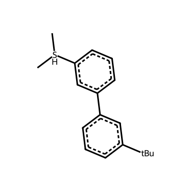 C[SH](C)c1cccc(-c2cccc(C(C)(C)C)c2)c1